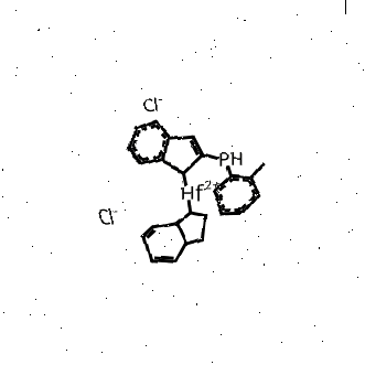 Cc1ccccc1PC1=Cc2ccccc2[CH]1[Hf+2][CH]1CCC2C=CC=CC21.[Cl-].[Cl-]